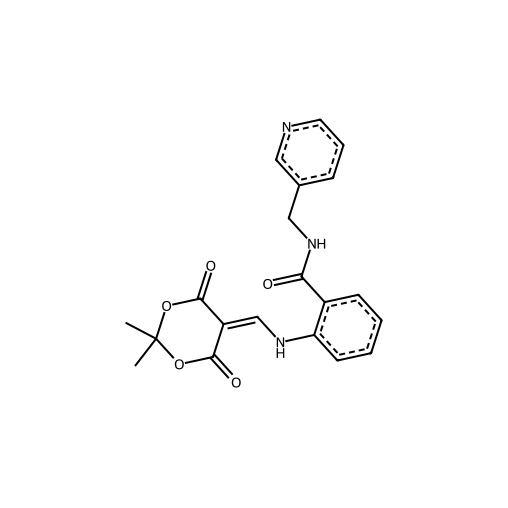 CC1(C)OC(=O)C(=CNc2ccccc2C(=O)NCc2cccnc2)C(=O)O1